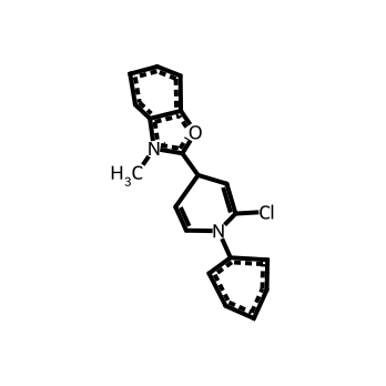 C[n+]1c(C2C=CN(c3ccccc3)C(Cl)=C2)oc2ccccc21